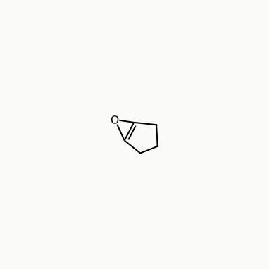 C1CC2=C(C1)O2